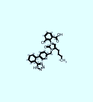 CCCCc1cn(-c2c(Cl)cccc2C(=O)O)c(=O)n1Cc1ccc(-c2ccccc2-c2nnn[nH]2)cn1